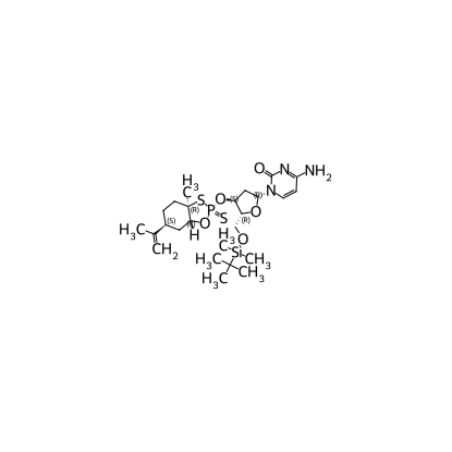 C=C(C)[C@H]1CC[C@@]2(C)SP(=S)(O[C@H]3C[C@H](n4ccc(N)nc4=O)O[C@@H]3CO[Si](C)(C)C(C)(C)C)O[C@@H]2C1